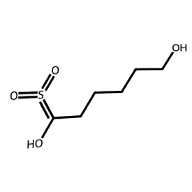 O=S(=O)=C(O)CCCCCO